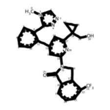 Cn1cnnc1-c1ccccc1-c1cc(N2Cc3c(cccc3C(F)(F)F)C2=O)nc(C2(CO)CC2)c1